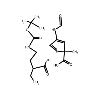 CC1(C(=O)O)C=C(NC=O)C=N1.CCC(CCNC(=O)OC(C)(C)C)C(=O)O